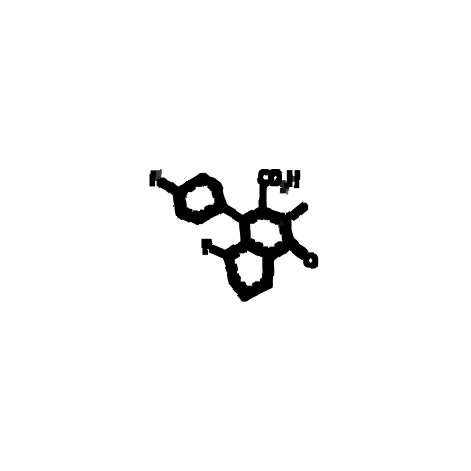 Cn1c(C(=O)O)c(-c2ccc(F)cc2)c2c(F)cccc2c1=O